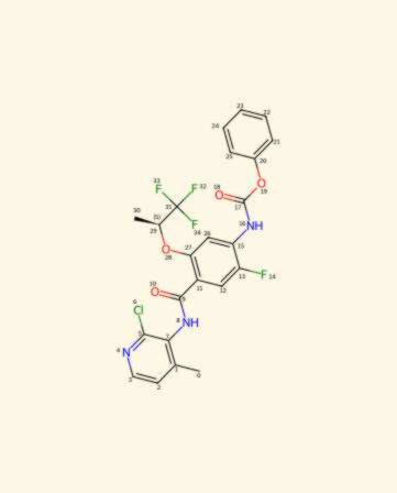 Cc1ccnc(Cl)c1NC(=O)c1cc(F)c(NC(=O)Oc2ccccc2)cc1O[C@@H](C)C(F)(F)F